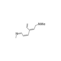 C=CC(/C=C\C=N/C)=C\CNC